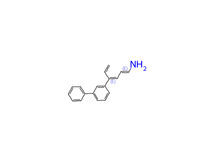 C=C/C(=C\C=C\N)c1cccc(-c2ccccc2)c1